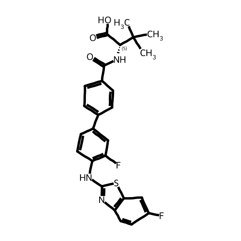 CC(C)(C)[C@H](NC(=O)c1ccc(-c2ccc(Nc3nc4ccc(F)cc4s3)c(F)c2)cc1)C(=O)O